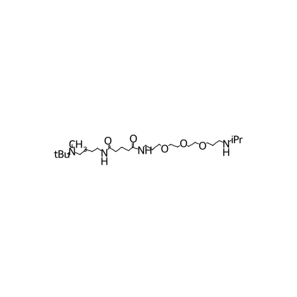 CC(C)NCCCOCCOCCOCCCNC(=O)CCCC(=O)NCCCCN(C)C(C)(C)C